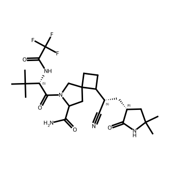 CC1(C)C[C@@H](C[C@H](C#N)C2CCC23CC(C(N)=O)N(C(=O)[C@@H](NC(=O)C(F)(F)F)C(C)(C)C)C3)C(=O)N1